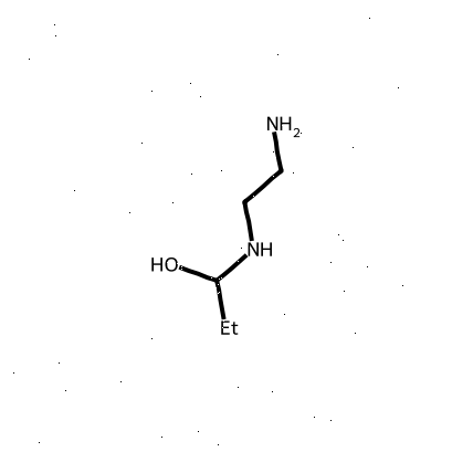 [CH2]CC(O)NCCN